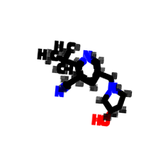 CC(C)(C)c1ncc(CN2CC[C@@H](O)C2)cc1C#N